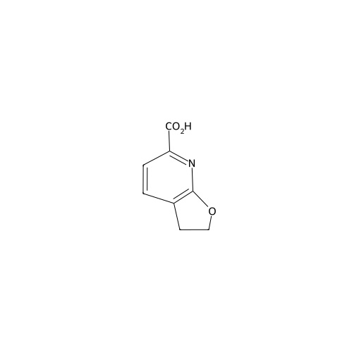 O=C(O)c1ccc2c(n1)OCC2